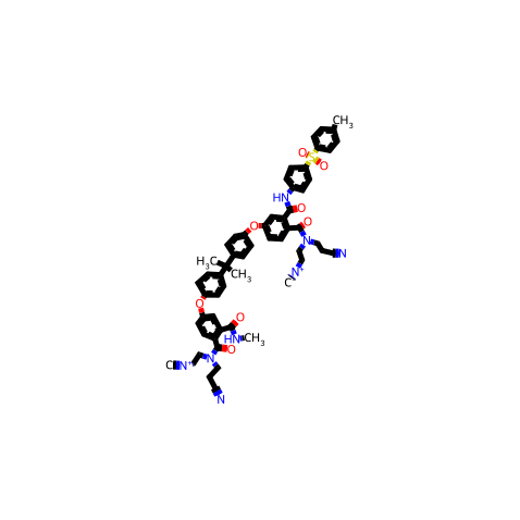 [C-]#[N+]CCN(CCC#N)C(=O)c1ccc(Oc2ccc(C(C)(C)c3ccc(Oc4ccc(C(=O)N(CCC#N)CC[N+]#[C-])c(C(=O)Nc5ccc(S(=O)(=O)c6ccc(C)cc6)cc5)c4)cc3)cc2)cc1C(=O)NC